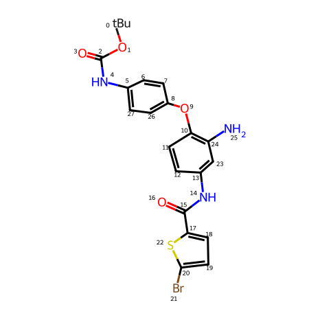 CC(C)(C)OC(=O)Nc1ccc(Oc2ccc(NC(=O)c3ccc(Br)s3)cc2N)cc1